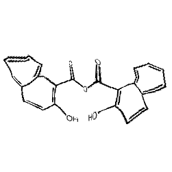 O=C(OC(=O)c1c(O)ccc2ccccc12)c1c(O)ccc2ccccc12